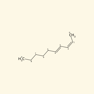 C/C=C\C=C\CCCCC